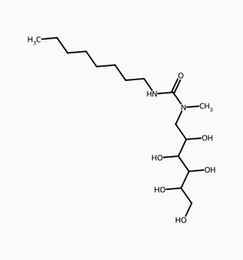 CCCCCCCCNC(=O)N(C)CC(O)C(O)C(O)C(O)CO